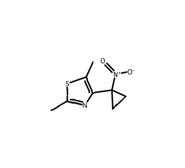 Cc1nc(C2([N+](=O)[O-])CC2)c(C)s1